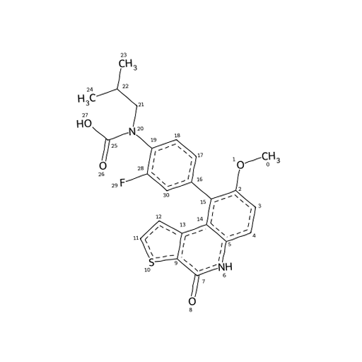 COc1ccc2[nH]c(=O)c3sccc3c2c1-c1ccc(N(CC(C)C)C(=O)O)c(F)c1